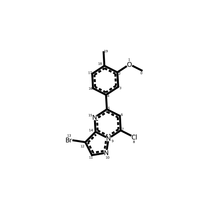 COc1cc(-c2cc(Cl)n3ncc(Br)c3n2)ccc1C